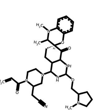 C=CC(=O)N1CCN(C2NC(OCC3CCCN3C)NC3C(=O)[C@]4(CCC32)Oc2ccccc2N(C)C4C)CC1CC#N